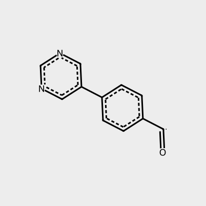 O=[C]c1ccc(-c2cncnc2)cc1